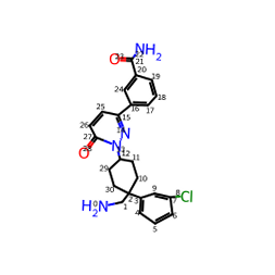 NCC1(c2cccc(Cl)c2)CCC(n2nc(-c3cccc(C(N)=O)c3)ccc2=O)CC1